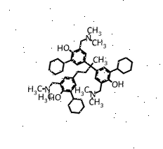 CN(C)Cc1cc(CCC(C)(c2cc(CN(C)C)c(O)c(C3CCCCC3)c2)c2cc(CN(C)C)c(O)c(C3CCCCC3)c2)cc(C2CCCCC2)c1O